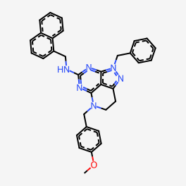 COc1ccc(CN2CCc3nn(Cc4ccccc4)c4nc(NCc5cccc6ccccc56)nc2c34)cc1